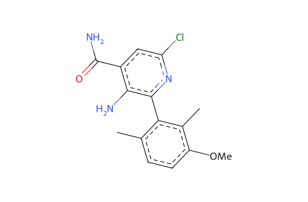 COc1ccc(C)c(-c2nc(Cl)cc(C(N)=O)c2N)c1C